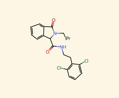 CC(C)CN1C(=O)c2ccccc2C1C(=O)NCCc1c(Cl)cccc1Cl